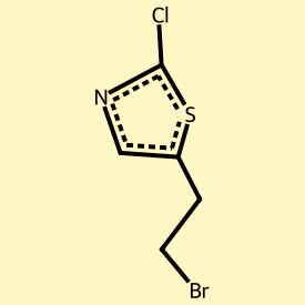 Clc1ncc(CCBr)s1